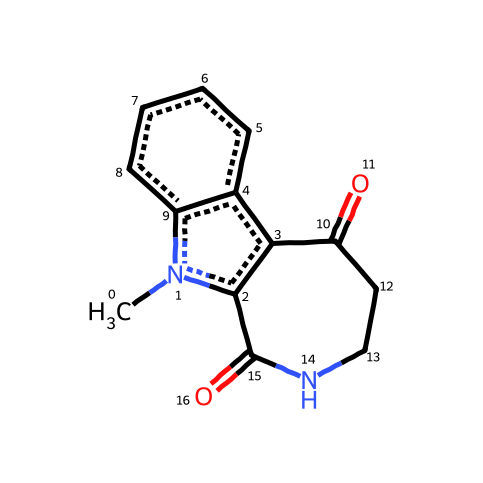 Cn1c2c(c3ccccc31)C(=O)CCNC2=O